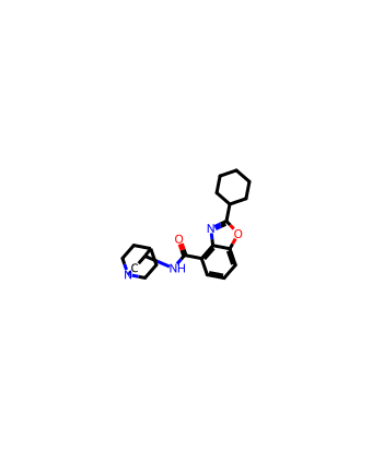 O=C(NC1CN2CCC1CC2)c1cccc2oc(C3CCCCC3)nc12